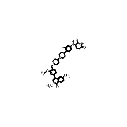 Cc1ccc2c(=O)n(C)cc(-c3ccc(CN4CCC(N5CCC(c6ccc(NC7CCC(=O)NC7=O)cc6F)CC5)CC4)c(OC(F)(F)F)c3)c2c1